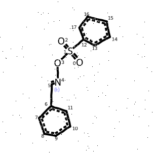 O=S(=O)(O/N=C/c1ccccc1)c1ccccc1